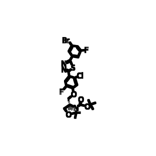 CC(C)(C)OC(=O)N1[C@@H](COc2cc(Cl)c(-c3nnc(-c4cc(F)cc(Br)c4)s3)cc2F)COC1(C)C